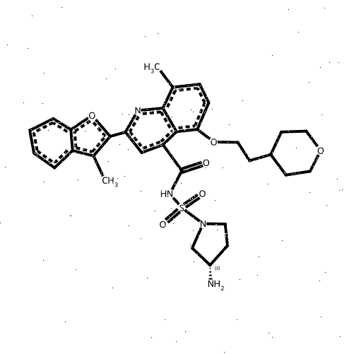 Cc1c(-c2cc(C(=O)NS(=O)(=O)N3CC[C@H](N)C3)c3c(OCCC4CCOCC4)ccc(C)c3n2)oc2ccccc12